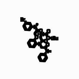 CN(C(=O)COc1ccccc1N(CC(=O)N(C)c1ccccc1)C(=O)CNC(=O)OC(C)(C)C)c1cccc(Br)c1